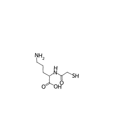 NCCCC(NC(=O)CS)C(=O)O